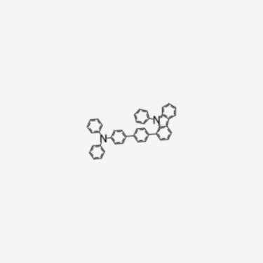 c1ccc(N(c2ccccc2)c2ccc(-c3ccc(-c4cccc5c6ccccc6n(-c6ccccc6)c45)cc3)cc2)cc1